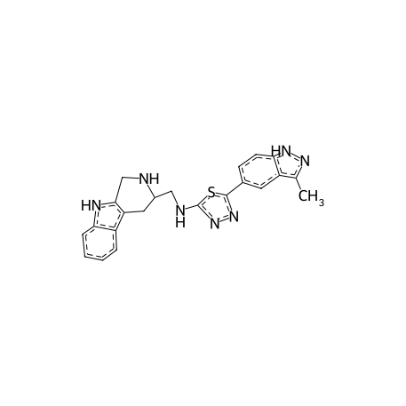 Cc1n[nH]c2ccc(-c3nnc(NCC4Cc5c([nH]c6ccccc56)CN4)s3)cc12